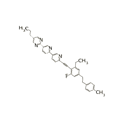 CCCc1cnc(-c2ccc(-c3ccc(C#Cc4c(F)cc(CCc5ccc(C)cc5)cc4CC)nc3)nc2)nc1